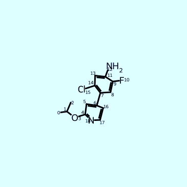 CC(C)Oc1cc(-c2cc(F)c(N)cc2Cl)ccn1